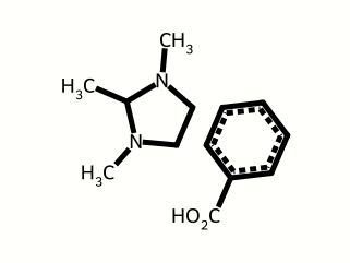 CC1N(C)CCN1C.O=C(O)c1ccccc1